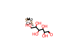 C.O=CC(O)C(O)C(O)C(O)CO.[S]=[Mo]=[S]